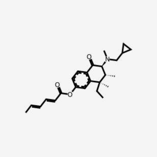 C/C=C/C=C/C(=O)Oc1ccc2c(c1)[C@](C)(CC)[C@@H](C)[C@H](N(C)CC1CC1)C2=O